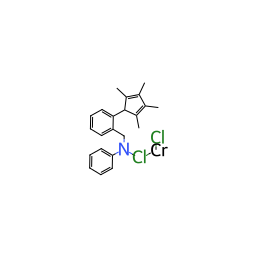 CC1=C(C)C(c2ccccc2CN(C)c2ccccc2)C(C)=C1C.[Cl][Cr][Cl]